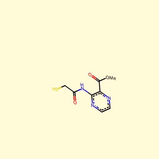 COC(=O)c1nccnc1NC(=O)CS